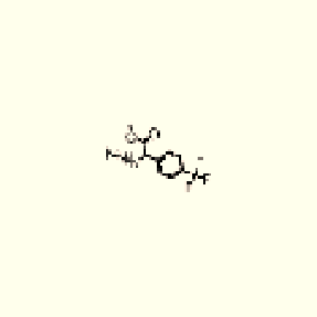 COC(=O)C(N=[N+]=[N-])c1ccc(C(F)(F)F)cc1